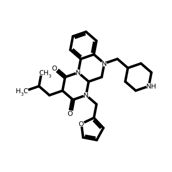 CC(C)CC1C(=O)N(Cc2ccco2)C2CN(CC3CCNCC3)c3ccccc3N2C1=O